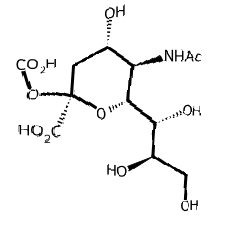 CC(=O)N[C@H]1[C@H]([C@H](O)[C@H](O)CO)O[C@](OC(=O)O)(C(=O)O)C[C@@H]1O